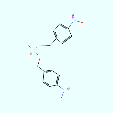 O=[N+]([O-])c1ccc(COP(=O)(Cl)OCc2ccc([N+](=O)[O-])cc2)cc1